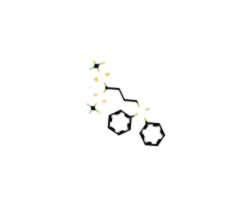 O=S(=O)(C(CCCS(Cl)(c1ccccc1)c1ccccc1)S(=O)(=O)C(F)(F)F)C(F)(F)F